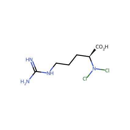 N=C(N)NCCC[C@@H](C(=O)O)N(Cl)Cl